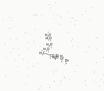 CCOC(C)=O.O.O.O.O.O.O.[Zn]